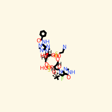 CC(C)(C)[Si](C)(C)OC1[C@H](n2cc(F)c3c(=O)[nH]cnc32)O[C@@H]2COP(=S)(OCCC#N)O[C@@H]3[C@H](O)[C@@H](COP(O)(=S)O[C@@H]12)O[C@H]3n1cnc2c(NC(=O)c3ccccc3)ncnc21